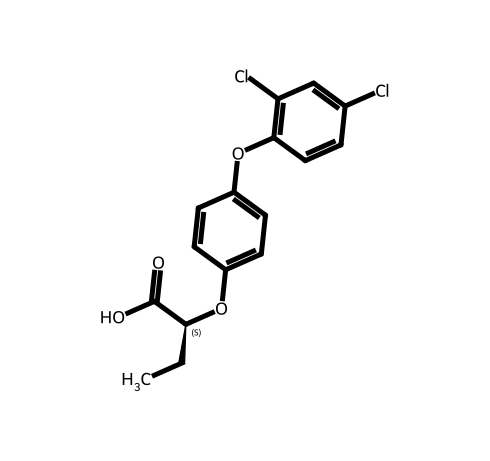 CC[C@H](Oc1ccc(Oc2ccc(Cl)cc2Cl)cc1)C(=O)O